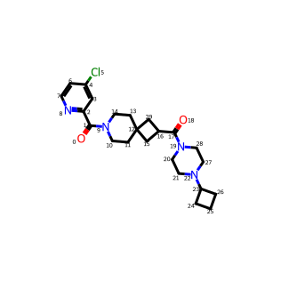 O=C(c1cc(Cl)ccn1)N1CCC2(CC1)CC(C(=O)N1CCN(C3CCC3)CC1)C2